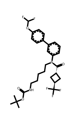 CC(C)(C)OC(=O)NCCCCCN(c1cccc(-c2ccc(OC(F)F)cc2)c1)C(=O)[C@H]1C[C@H](C(F)(F)F)C1